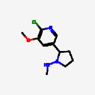 CNN1CCCC1c1cnc(Cl)c(OC)c1